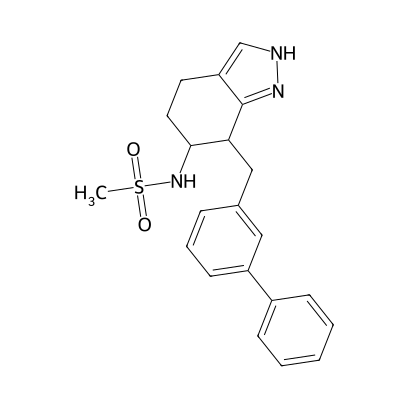 CS(=O)(=O)NC1CCc2c[nH]nc2C1Cc1cccc(-c2ccccc2)c1